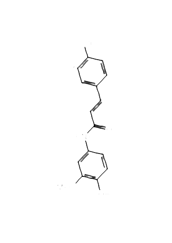 COc1cc(NC(=O)/C=C/c2ccc(C(C)(C)C)cc2)ccc1O